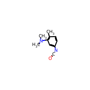 Cc1ccc(N=C=O)cc1N(C)C